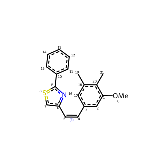 COc1cc(/C=C\c2csc(-c3ccccc3)n2)cc(C)c1C